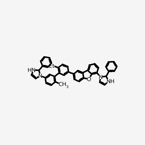 CCc1ccc(-c2ccc3oc4c(N5C=CNC5c5ccccc5)cccc4c3c2)cc1-c1cc(N2C=CNC2c2ccccc2)ccc1C